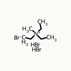 Br.Br.CC[N+](C)(CC)CC.[Br-]